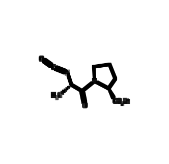 CCOC(=O)[C@@H]1CCCN1C(=O)[C@H](C)N=C=O